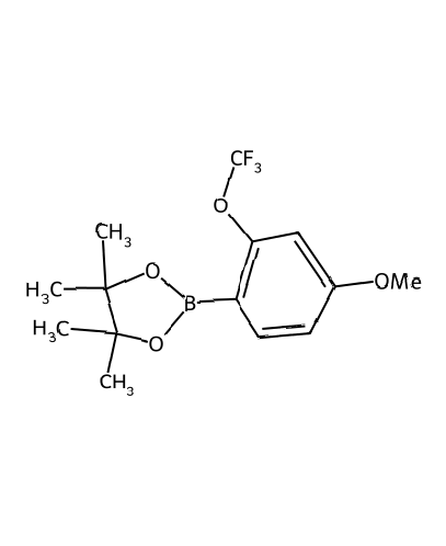 COc1ccc(B2OC(C)(C)C(C)(C)O2)c(OC(F)(F)F)c1